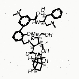 COc1c(CN2O[C@@H](CO)[C@@H]([C@H](C)O)[C@H]2C(=O)N[C@H]2C[C@H]3C[C@@H]([C@@H]2C)C3(C)C)cccc1-c1cc(C(=O)N[C@H](CN(C)C)[C@H](O)c2ccccc2)cc(N(C)C)c1